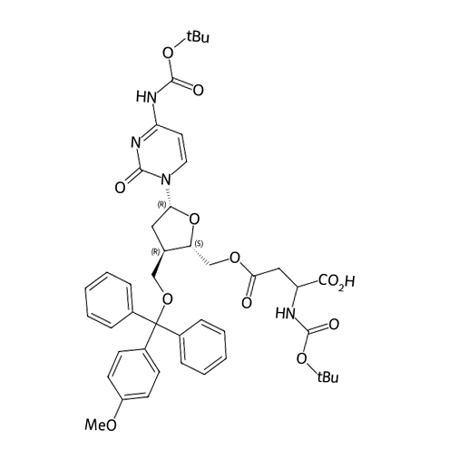 COc1ccc(C(OC[C@H]2C[C@H](n3ccc(NC(=O)OC(C)(C)C)nc3=O)O[C@@H]2COC(=O)CC(NC(=O)OC(C)(C)C)C(=O)O)(c2ccccc2)c2ccccc2)cc1